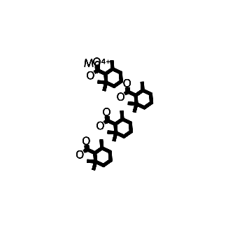 CC1CCCC(C)(C)C1C(=O)[O-].CC1CCCC(C)(C)C1C(=O)[O-].CC1CCCC(C)(C)C1C(=O)[O-].CC1CCCC(C)(C)C1C(=O)[O-].[Mo+4]